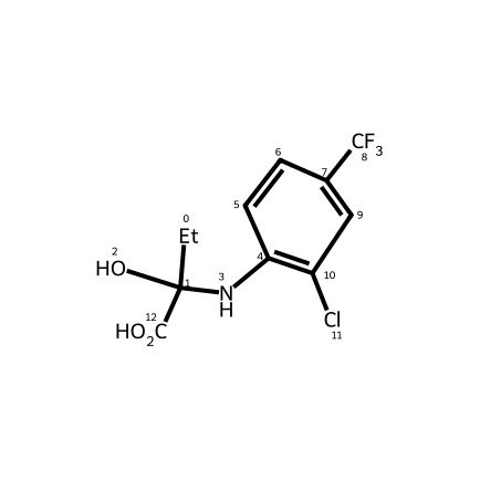 CCC(O)(Nc1ccc(C(F)(F)F)cc1Cl)C(=O)O